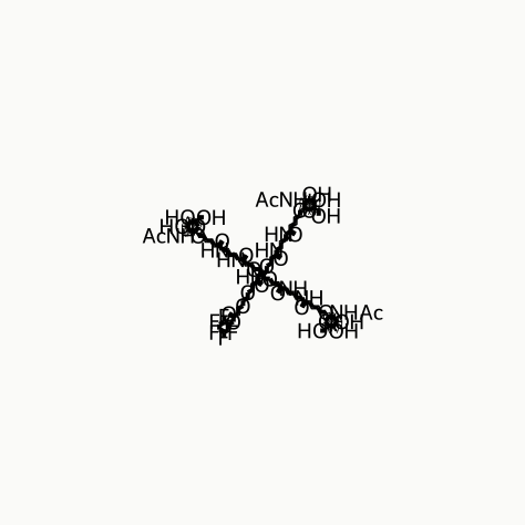 CC(=O)N[C@H]1[C@H](OCCCCC(=O)NCCCNC(=O)CCOCC(COCCC(=O)NCCCNC(=O)CCCCO[C@@H]2O[C@H](CO)[C@H](O)[C@H](O)[C@H]2NC(C)=O)(COCCC(=O)NCCCNC(=O)CCCCO[C@@H]2O[C@H](CO)[C@H](O)[C@H](O)[C@H]2NC(C)=O)NC(=O)CCOCCOCCC(=O)Oc2c(F)c(F)c(F)c(F)c2F)O[C@H](CO)[C@H](O)[C@@H]1O